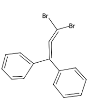 BrC(Br)=C=C(c1ccccc1)c1ccccc1